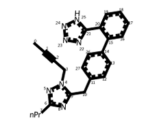 CC#CCn1nc(CCC)nc1Cc1ccc(-c2ccccc2-c2nnn[nH]2)cc1